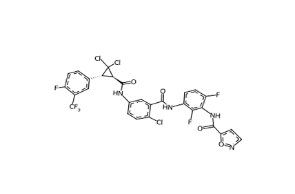 O=C(Nc1c(F)ccc(NC(=O)c2cc(NC(=O)[C@H]3[C@H](c4ccc(F)c(C(F)(F)F)c4)C3(Cl)Cl)ccc2Cl)c1F)c1ccno1